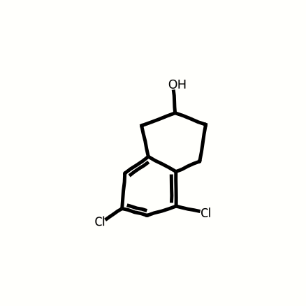 OC1CCc2c(Cl)cc(Cl)cc2C1